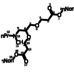 CCCCCCCCCOC(=O)CCOCC(CN(C)CCC)OCCC(=O)OCCCCCCCCC